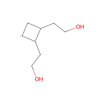 OCCC1[CH]CC1CCO